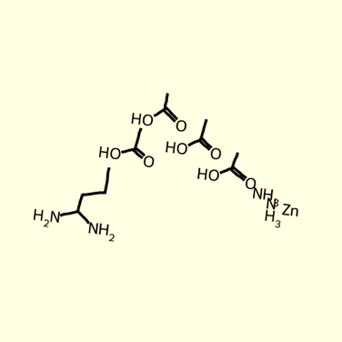 CC(=O)O.CC(=O)O.CC(=O)O.CC(=O)O.CCCC(N)N.N.N.[Zn]